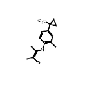 CC/C(C)=C(/C)Nc1ccc(C2(C(=O)O)CC2)cc1C